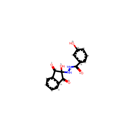 O=C(NNC1(O)C(=O)c2ccccc2C1=O)c1cccc(O)c1